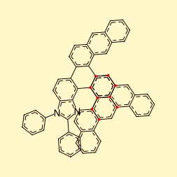 c1ccc(-c2nc3c(-c4ccc5cc6ccccc6cc5c4-c4ccc5ccccc5c4)c(-c4ccc5cc6ccccc6cc5c4-c4ccc5ccccc5c4)ccc3n2-c2ccccc2)cc1